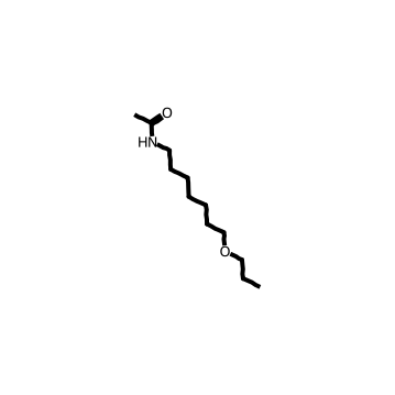 CCCOCCCCCCCNC(C)=O